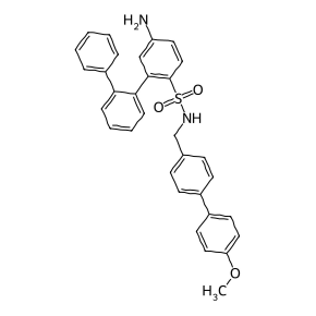 COc1ccc(-c2ccc(CNS(=O)(=O)c3ccc(N)cc3-c3ccccc3-c3ccccc3)cc2)cc1